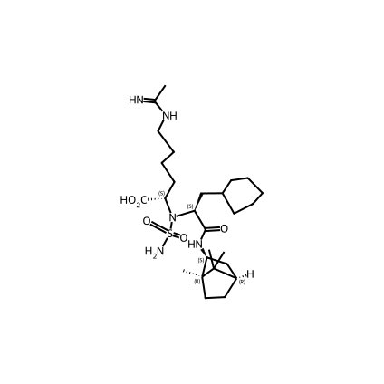 CC(=N)NCCCC[C@@H](C(=O)O)N([C@@H](CC1CCCCC1)C(=O)N[C@H]1C[C@H]2CC[C@]1(C)C2(C)C)S(N)(=O)=O